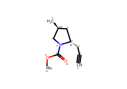 C#CC[C@H]1C[C@H](C)CN1C(=O)OC(C)(C)C